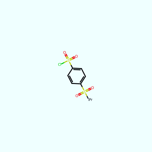 CC(C)S(=O)(=O)c1ccc(S(=O)(=O)Cl)cc1